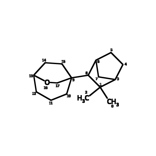 CC1(C)C2CCC(C2)C1C12CCCC(CC1)OC2